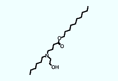 CCCCCCCCCCOC(=O)CCCN(CCO)CCCCCC